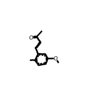 COc1ccc(C)c(/C=C/C(C)=O)c1